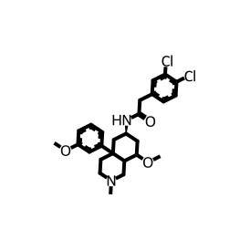 COc1cccc(C23CCN(C)CC2C(OC)C[C@H](NC(=O)Cc2ccc(Cl)c(Cl)c2)C3)c1